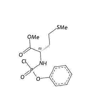 COC(=O)[C@H](CCSC)NP(=O)(Cl)Oc1ccccc1